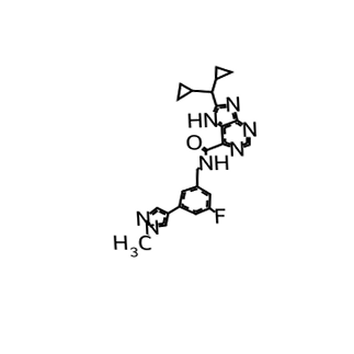 Cn1cc(-c2cc(F)cc(CNC(=O)c3ncnc4nc(C(C5CC5)C5CC5)[nH]c34)c2)cn1